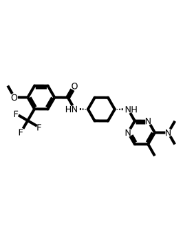 COc1ccc(C(=O)N[C@H]2CC[C@@H](Nc3ncc(C)c(N(C)C)n3)CC2)cc1C(F)(F)F